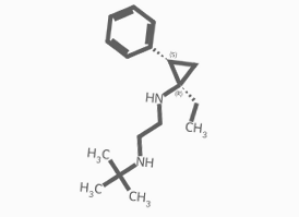 CC[C@@]1(NCCNC(C)(C)C)C[C@H]1c1ccccc1